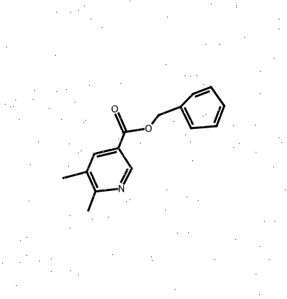 Cc1cc(C(=O)OCc2ccccc2)cnc1C